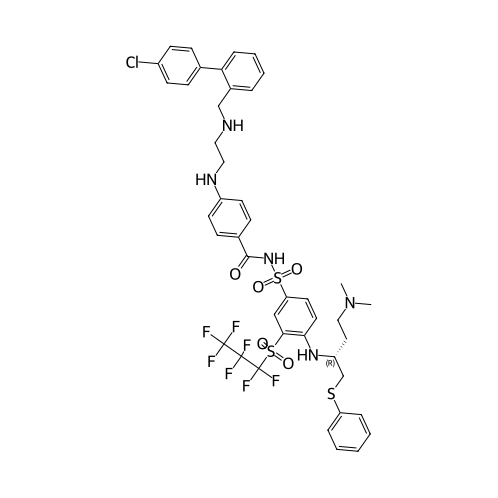 CN(C)CC[C@H](CSc1ccccc1)Nc1ccc(S(=O)(=O)NC(=O)c2ccc(NCCNCc3ccccc3-c3ccc(Cl)cc3)cc2)cc1S(=O)(=O)C(F)(F)C(F)(F)C(F)(F)F